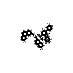 C=N/C(=N\C(=N/Cc1ccc2ccc3ccccc3c2c1)c1ccc2ccccc2c1)c1ccc(-c2ccccc2)c2oc3ccccc3c12